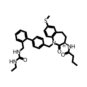 CCCC(=O)N[C@@H]1CCc2cc(SC)ccc2N(Cc2ccc(-c3ccccc3CNC(=O)NCC)cc2)C1=O